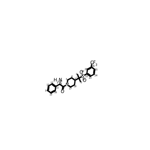 CC(C)(C1CCN(C(=O)[C@H](N)c2ccccc2)CC1)S(=O)(=O)c1cccc(C(F)(F)F)c1